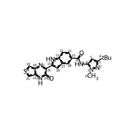 Cn1nc(C(C)(C)C)cc1NC(=O)c1ccc2[nH]c(-c3nc4cscc4[nH]c3=O)cc2c1